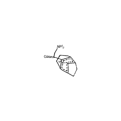 Cc1c2c3c(C(N)=O)c(c1CC2)CC3